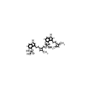 CC1CN(CCc2c[nH]c3cccc(OP(=O)(O)O)c23)C1COP(=O)(O)Oc1cccc2[nH]cc(CCN3C(C)CC3C)c12